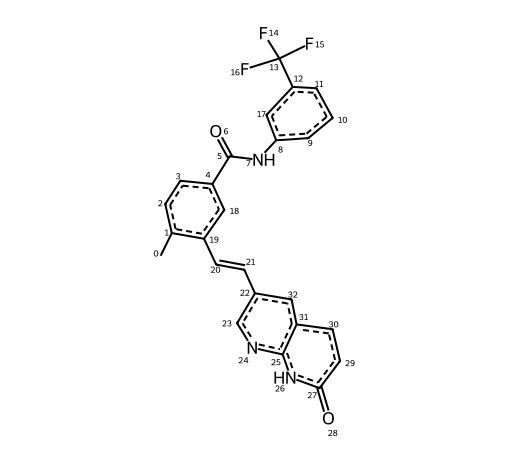 Cc1ccc(C(=O)Nc2cccc(C(F)(F)F)c2)cc1/C=C/c1cnc2[nH]c(=O)ccc2c1